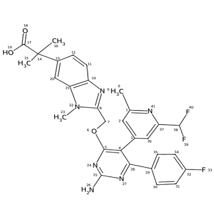 Cc1cc(-c2c(OCc3nc4ccc(C(C)(C)C(=O)O)cc4n3C)nc(N)nc2-c2ccc(F)cc2)cc(C(F)F)n1